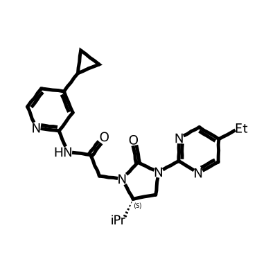 CCc1cnc(N2C[C@H](C(C)C)N(CC(=O)Nc3cc(C4CC4)ccn3)C2=O)nc1